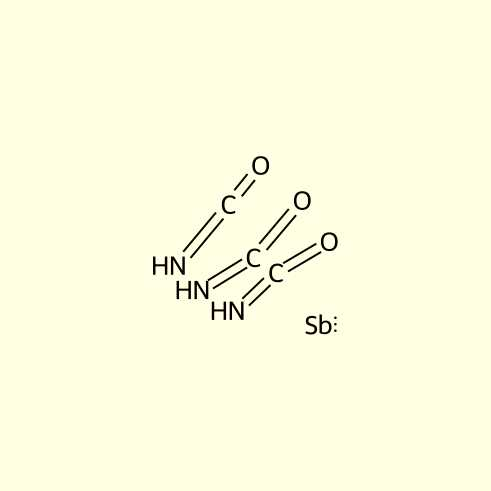 N=C=O.N=C=O.N=C=O.[Sb]